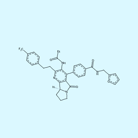 CCC(=O)Nc1c(CCc2ccc(C(F)(F)F)cc2)nc2c(c1-c1ccc(C(=O)NCc3ccco3)cc1)C(=O)N1CCC[C@@H]21